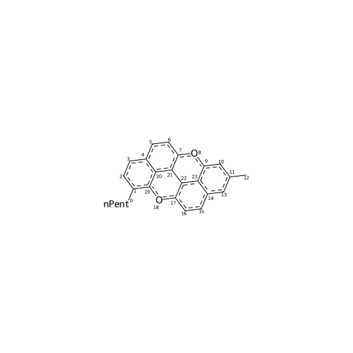 CCCCCc1ccc2ccc3oc4cc(C)cc5ccc6oc1c2c3-c6c54